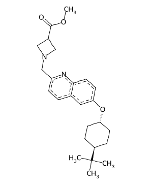 COC(=O)C1CN(Cc2ccc3cc(O[C@H]4CC[C@H](C(C)(C)C)CC4)ccc3n2)C1